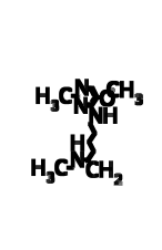 C=C(CCCCNc1nc(C)ncc1OC)NCC